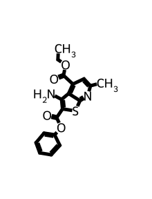 CCOC(=O)c1cc(C)nc2sc(C(=O)Oc3ccccc3)c(N)c12